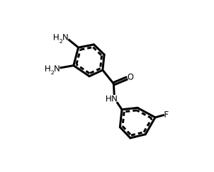 Nc1ccc(C(=O)Nc2cccc(F)c2)cc1N